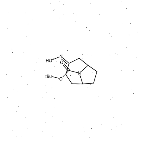 CC(C)(C)OC(=O)N1C2CC/C(=N\O)CC1CC2